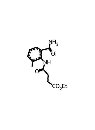 CCOC(=O)CCC(=O)Nc1c(C)cccc1C(N)=O